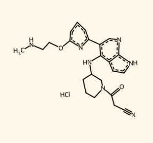 CNCCOc1cccc(-c2cnc3[nH]ccc3c2NC2CCCN(C(=O)CC#N)C2)n1.Cl